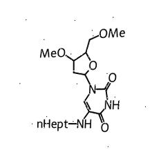 CCCCCCCNc1cn(C2CC(OC)C(COC)O2)c(=O)[nH]c1=O